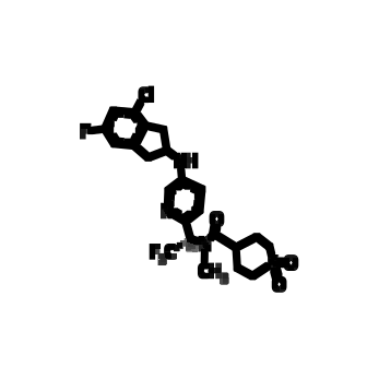 CN(C(=O)C1CCS(=O)(=O)CC1)[C@@H](c1ccc(NC2Cc3cc(F)cc(Cl)c3C2)cn1)C(F)(F)F